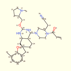 C=CC(=O)N1CCN(C2NC(OCC3CCCN3C)NC3C[C@@]4(CCC32)Cc2cccc(C)c2O4)CC1CC#N